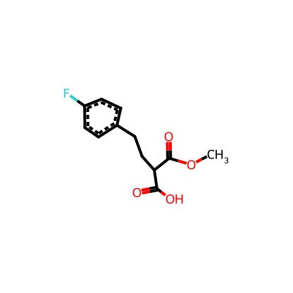 COC(=O)C(CCc1ccc(F)cc1)C(=O)O